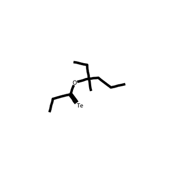 CCCC(C)(CC)OC(=[Te])CC